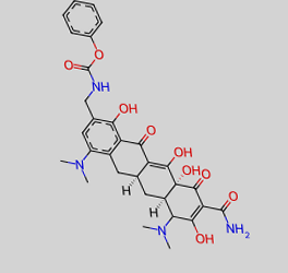 CN(C)c1cc(CNC(=O)Oc2ccccc2)c(O)c2c1C[C@@H]1C[C@@H]3C(N(C)C)C(O)=C(C(N)=O)C(=O)[C@]3(O)C(O)=C1C2=O